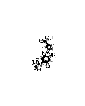 CCS(=O)(=O)Nc1cc2nc(-n3cc(C(=O)O)cn3)[nH]c2cc1Cl